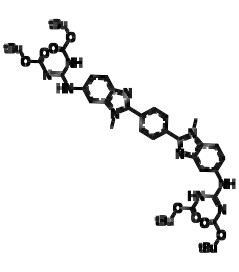 Cn1c(-c2ccc(-c3nc4ccc(N/C(=N/C(=O)OC(C)(C)C)NC(=O)OC(C)(C)C)cc4n3C)cc2)nc2cc(N/C(=N/C(=O)OC(C)(C)C)NC(=O)OC(C)(C)C)ccc21